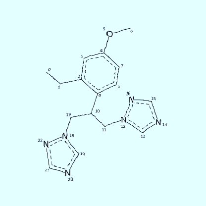 CCc1cc(OC)ccc1C(Cn1cncn1)Cn1cncn1